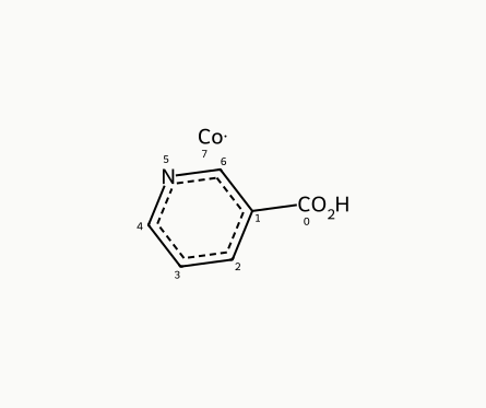 O=C(O)c1cccnc1.[Co]